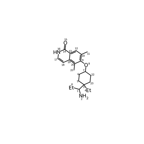 CCC(N)C1(CC)CCC(Oc2c(C)cc3c(=O)[nH]ccc3c2C)CC1